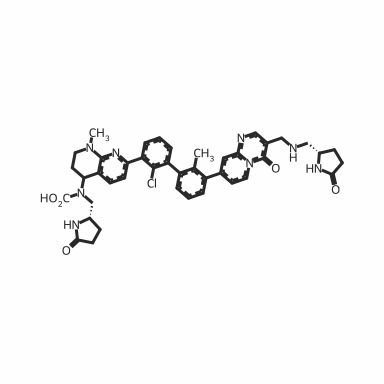 Cc1c(-c2ccn3c(=O)c(CNC[C@@H]4CCC(=O)N4)cnc3c2)cccc1-c1cccc(-c2ccc3c(n2)N(C)CCC3N(C[C@@H]2CCC(=O)N2)C(=O)O)c1Cl